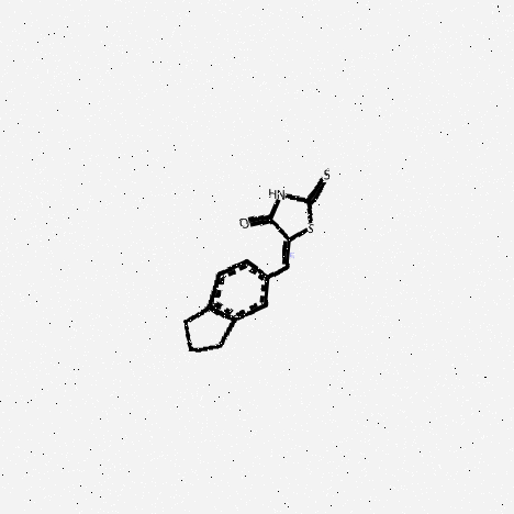 O=C1NC(=S)S/C1=C/c1ccc2c(c1)CCC2